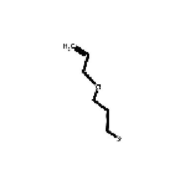 C=CCOCCC[S]